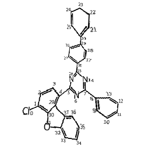 Clc1ccc(-c2nc(-c3ccccc3)nc(-c3ccc(C4=CCCC=C4)cc3)n2)c2c1oc1ccccc12